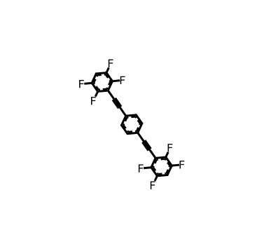 Fc1cc(F)c(F)c(C#Cc2ccc(C#Cc3c(F)c(F)cc(F)c3F)cc2)c1F